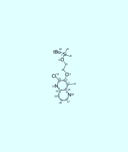 Cc1c(OCCO[Si](C)(C)C(C)(C)C)c(Cl)nc2cccnc12